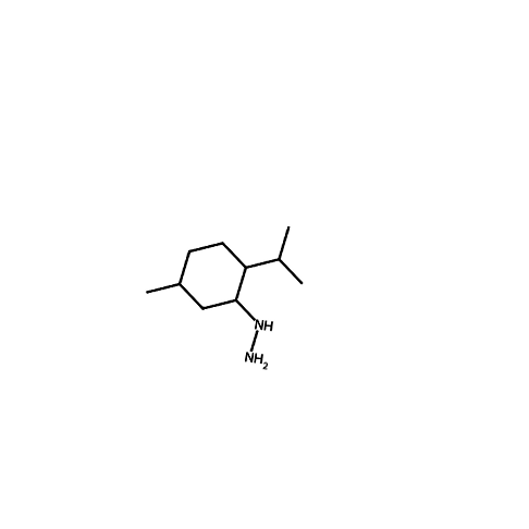 CC1CCC(C(C)C)C(NN)C1